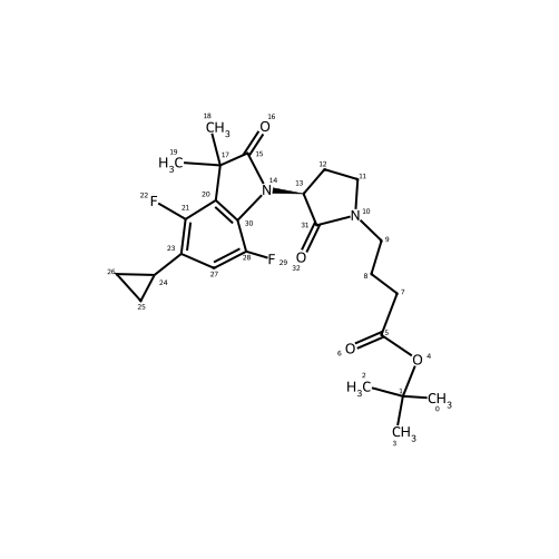 CC(C)(C)OC(=O)CCCN1CC[C@H](N2C(=O)C(C)(C)c3c(F)c(C4CC4)cc(F)c32)C1=O